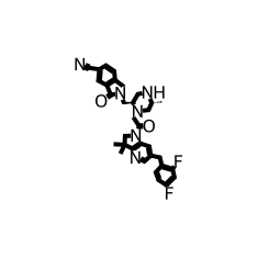 C[C@@H]1CN(CC(=O)N2CC(C)(C)c3ncc(Cc4ccc(F)cc4F)cc32)[C@@H](CN2Cc3ccc(C#N)cc3C2=O)CN1